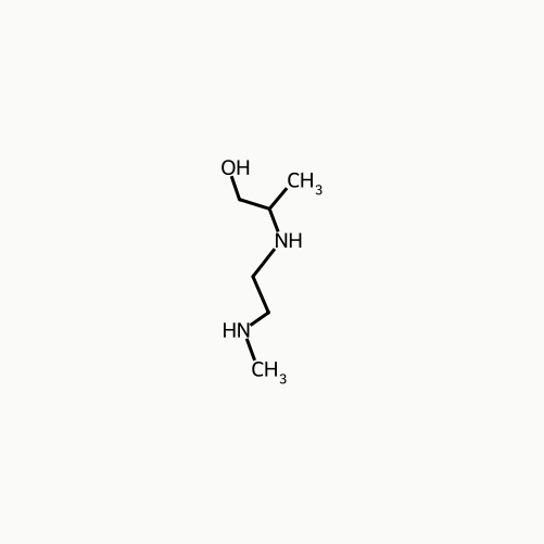 CNCCNC(C)CO